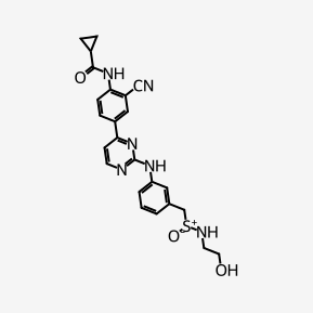 N#Cc1cc(-c2ccnc(Nc3cccc(C[S+]([O-])NCCO)c3)n2)ccc1NC(=O)C1CC1